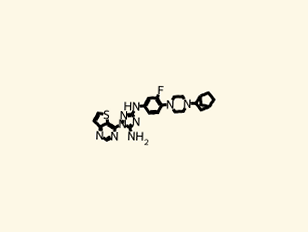 Nc1nc(Nc2ccc(N3CCN(C4CC5CCC4C5)CC3)c(F)c2)nn1-c1ncnc2ccsc12